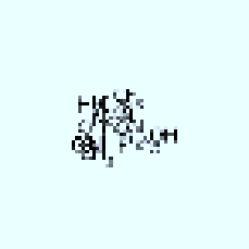 Cc1c(C(F)(F)F)nnc(Oc2ncc(C3(O)CCC3)c(F)c2F)c1C(=O)Nc1cccc(S(C)(=N)=O)c1